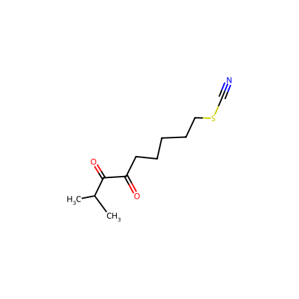 CC(C)C(=O)C(=O)CCCCCSC#N